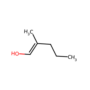 CCCC(C)=CO